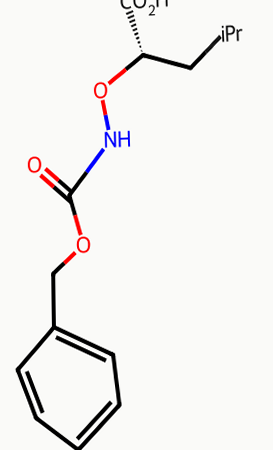 CC(C)C[C@H](ONC(=O)OCc1ccccc1)C(=O)O